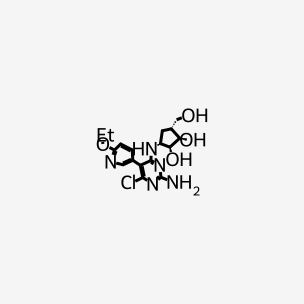 CCOc1ccc(-c2c(Cl)nc(N)nc2N[C@@H]2C[C@H](CO)[C@@H](O)[C@H]2O)cn1